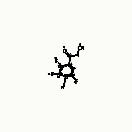 N#CCC(=O)c1cc(F)c(F)c(F)c1F